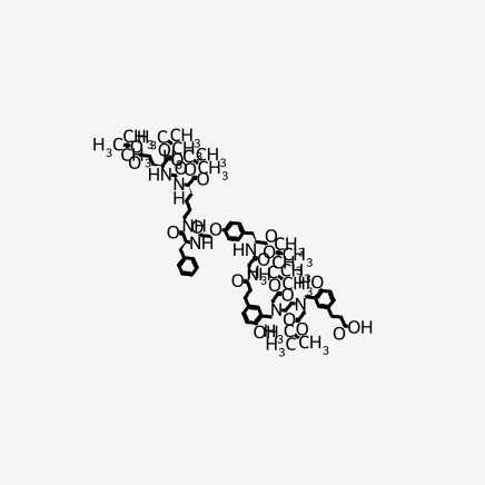 CC(C)(C)OC(=O)CC[C@H](NC(=O)N[C@@H](CCCCNC(=O)[C@H](Cc1ccccc1)NC(=O)COc1ccc(C[C@H](NC(=O)CNC(=O)CCc2ccc(O)c(CN(CCN(CC(=O)OC(C)(C)C)Cc3cc(CCC(=O)O)ccc3O)CC(=O)OC(C)(C)C)c2)C(=O)OC(C)(C)C)cc1)C(=O)OC(C)(C)C)C(=O)OC(C)(C)C